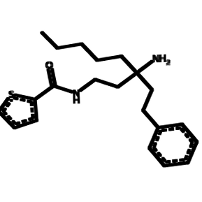 CCCCCC(N)(CCNC(=O)c1cccs1)CCc1ccccc1